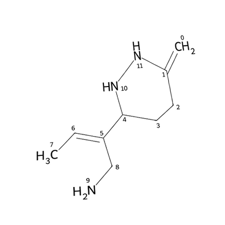 C=C1CCC(/C(=C/C)CN)NN1